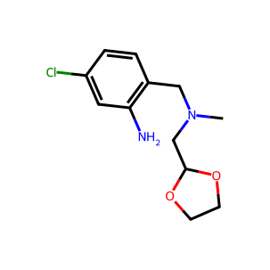 CN(Cc1ccc(Cl)cc1N)CC1OCCO1